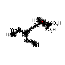 COC(=O)[C@H](CCCCNC(=O)c1cc(NC(=O)NCCOCCOCCNC(=O)CCCCC[N+]2=C(/C=C/C3=C(Oc4ccc(S(=O)(=O)O)cc4)C(=C/C=C4/N(CCCCS(=O)(=O)O)c5ccc(S(=O)(=O)O)cc5C4(C)C)/CCC3)C(C)(C)c3cc(S(=O)(=O)[O-])ccc32)cc(C(=O)NCCCC[C@H](NC(=O)CCCC[C@@H]2SC[C@@H]3NC(=N)N[C@@H]32)C(=O)OC)c1)NC(=O)CCCC[C@@H]1SC[C@@H]2NC(=N)N[C@@H]21